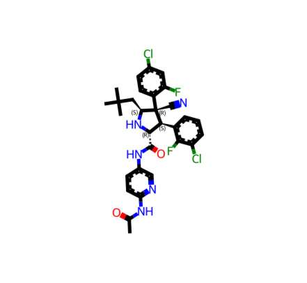 CC(=O)Nc1ccc(NC(=O)[C@@H]2N[C@@H](CC(C)(C)C)[C@](C#N)(c3ccc(Cl)cc3F)[C@H]2c2cccc(Cl)c2F)cn1